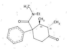 CCN(C)C(=O)C1(c2ccccc2)CCC(=O)[C@@H](C)[C@@H]1C